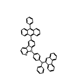 c1ccc(-c2c3ccccc3c(-c3ccc4c(c3)c3cccnc3n4-c3ccc(N(c4ccccc4)c4cc5ccccc5c5ccccc45)cc3)c3ccccc23)cc1